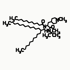 CCCCCCCCCCCCC(CCCCCCCCCC)CN(C(=O)CCCCCCCCCC)C(CC1CCN(C)CC1)C(=O)NC(C)(C)C